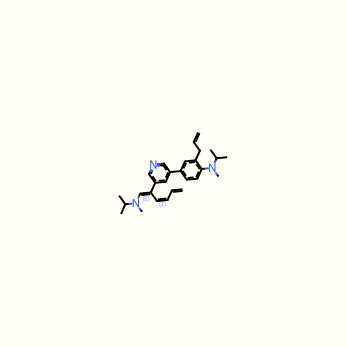 C=C/C=C\C(=C/N(C)C(C)C)c1cncc(-c2ccc(N(C)C(C)C)c(CC=C)c2)c1